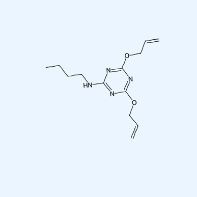 C=CCOc1nc(NCCCC)nc(OCC=C)n1